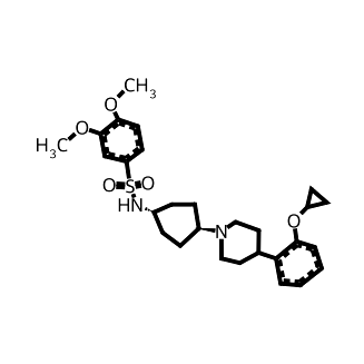 COc1ccc(S(=O)(=O)N[C@H]2CC[C@H](N3CCC(c4ccccc4OC4CC4)CC3)CC2)cc1OC